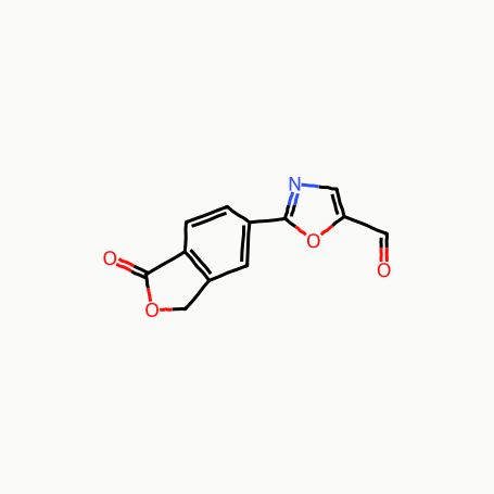 O=Cc1cnc(-c2ccc3c(c2)COC3=O)o1